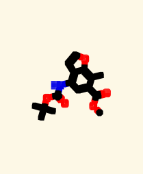 COC(=O)c1cc(NC(=O)OC(C)(C)C)c2ccoc2c1C